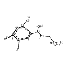 CCOC(=O)CCC(O)c1cc(F)c(F)cc1Br